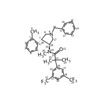 Cc1ccccc1[C@@H]1CN(Cc2ccccc2)C[C@H]1N(C)C(=O)C(C)(C)c1cc(C(F)(F)F)cc(C(F)(F)F)c1